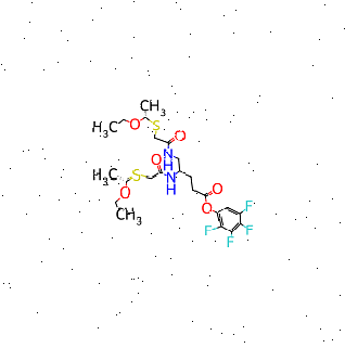 CCO[C@H](C)SCC(=O)NCC(CCC(=O)Oc1cc(F)c(F)c(F)c1F)NC(=O)CS[C@@H](C)OCC